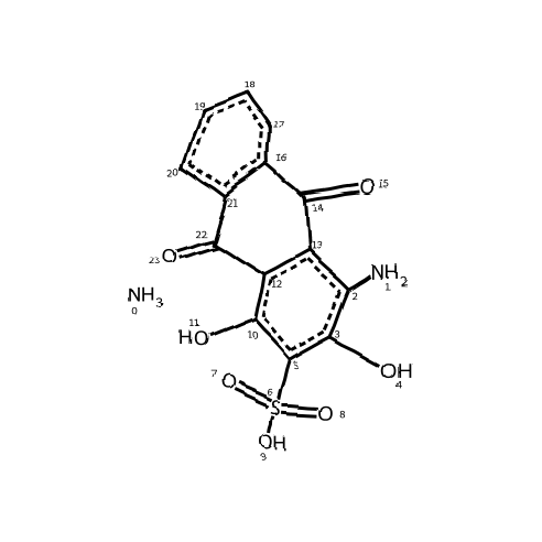 N.Nc1c(O)c(S(=O)(=O)O)c(O)c2c1C(=O)c1ccccc1C2=O